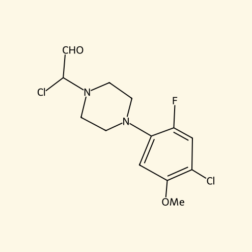 COc1cc(N2CCN(C(Cl)C=O)CC2)c(F)cc1Cl